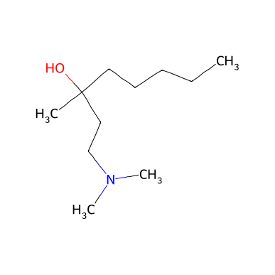 CCCCCC(C)(O)CCN(C)C